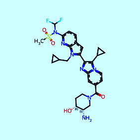 CS(=O)(=O)N(c1ccc2cc(-c3nc4cc(C(=O)N5CC[C@@H](O)[C@@H](N)C5)ccn4c3C3CC3)n(CC3CC3)c2n1)C(F)F